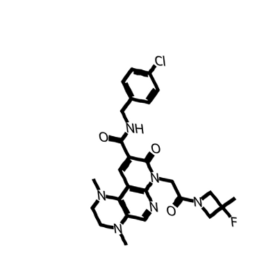 CN1CCN(C)c2c1cnc1c2cc(C(=O)NCc2ccc(Cl)cc2)c(=O)n1CC(=O)N1CC(C)(F)C1